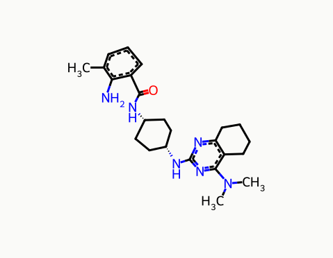 Cc1cccc(C(=O)N[C@H]2CC[C@@H](Nc3nc4c(c(N(C)C)n3)CCCC4)CC2)c1N